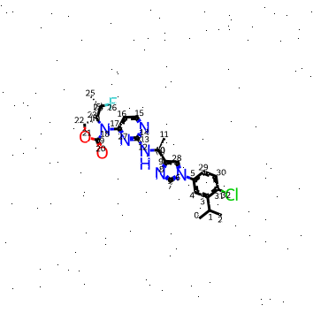 CC(C)c1cc(-n2cnc([C@H](C)Nc3nccc(N4C(=O)OC[C@@H]4[C@H](C)F)n3)c2)ccc1Cl